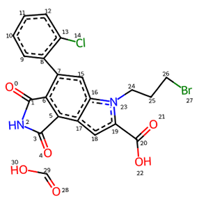 O=C1NC(=O)c2c1c(-c1ccccc1Cl)cc1c2cc(C(=O)O)n1CCCBr.O=CO